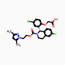 Cc1cc(C)n(CCOC(=O)N2CCc3cc(F)ccc3[C@H]2c2cc(Cl)ccc2OCC(=O)O)n1